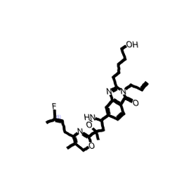 C=CCn1c(CCCCCO)nc2cc(C3CC(C)(C4=NC(C/C=C(\C)F)=C(C)CO4)ON3)ccc2c1=O